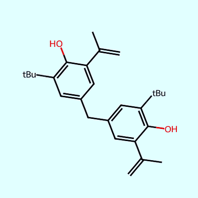 C=C(C)c1cc(Cc2cc(C(=C)C)c(O)c(C(C)(C)C)c2)cc(C(C)(C)C)c1O